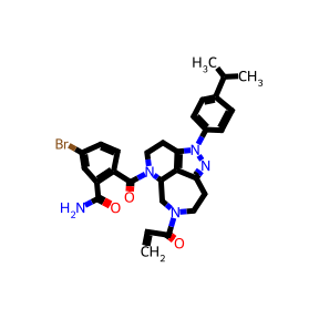 C=CC(=O)N1CCc2nn(-c3ccc(C(C)C)cc3)c3c2C(C1)N(C(=O)c1ccc(Br)cc1C(N)=O)CC3